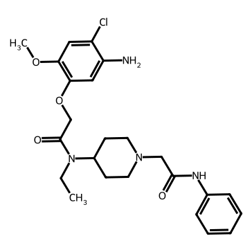 CCN(C(=O)COc1cc(N)c(Cl)cc1OC)C1CCN(CC(=O)Nc2ccccc2)CC1